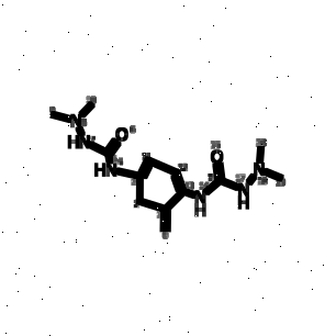 C=C1CC(NC(=O)NN(C)C)=CC=C1NC(=O)NN(C)C